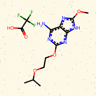 COc1nc2c(N)nc(OCCOC(C)C)nc2[nH]1.O=C(O)C(F)(F)F